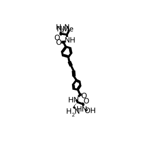 CNC(=O)C(CN)NC(=O)c1ccc(C#CC#Cc2ccc(C(=O)N[C@@H](CN)C(=O)NO)cc2)cc1